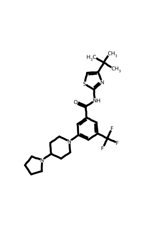 CC(C)(C)c1csc(NC(=O)c2cc(N3CCC(N4CCCC4)CC3)cc(C(F)(F)F)c2)n1